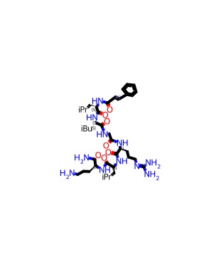 CC[C@H](C)[C@H](NC(=O)[C@H](CC(C)C)NC(=O)/C=C/c1ccccc1)C(=O)NCC(=O)N[C@@H](CCCN=C(N)N)C(=O)N[C@@H](CC(C)C)C(=O)N[C@@H](CCCN)C(N)=O